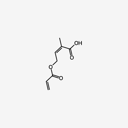 C=CC(=O)OCC=C(C)C(=O)O